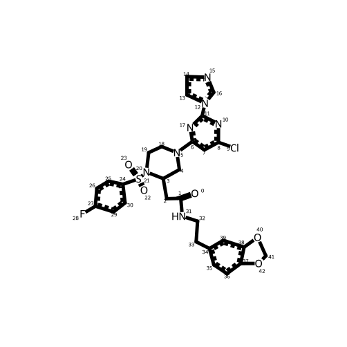 O=C(CC1CN(c2cc(Cl)nc(-n3ccnc3)n2)CCN1S(=O)(=O)c1ccc(F)cc1)NCCc1ccc2c(c1)OCO2